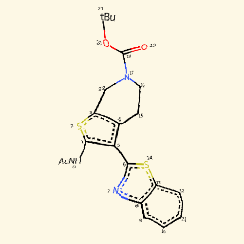 CC(=O)Nc1sc2c(c1-c1nc3ccccc3s1)CCN(C(=O)OC(C)(C)C)C2